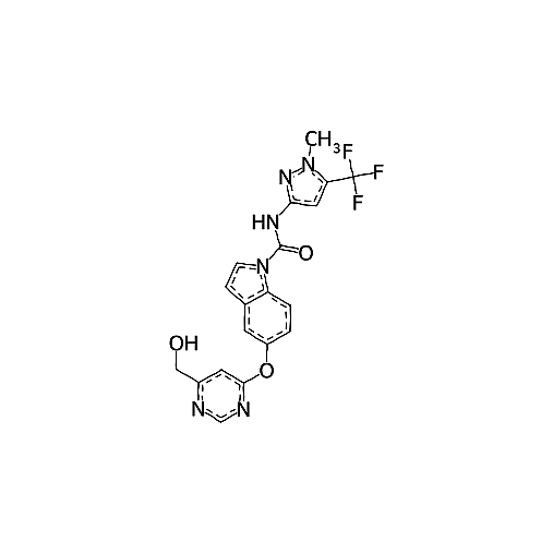 Cn1nc(NC(=O)n2ccc3cc(Oc4cc(CO)ncn4)ccc32)cc1C(F)(F)F